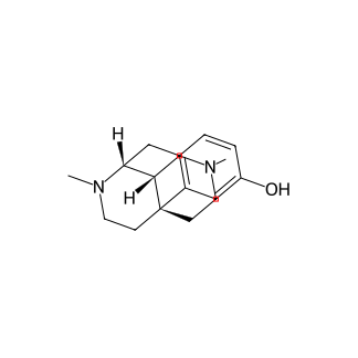 CN1CC[C@]23CCN(C)[C@H](Cc4ccc(O)cc42)[C@@H]3C1